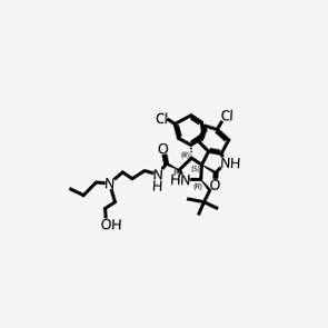 CCCN(CCO)CCCNC(=O)[C@@H]1N[C@H](CC(C)(C)C)[C@]2(C(=O)Nc3cc(Cl)ccc32)[C@H]1c1cccc(Cl)c1